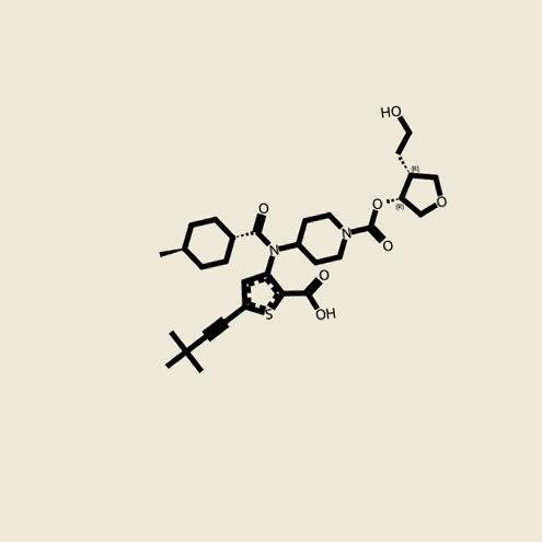 CC(C)(C)C#Cc1cc(N(C(=O)[C@H]2CC[C@H](C)CC2)C2CCN(C(=O)O[C@H]3COC[C@H]3CCO)CC2)c(C(=O)O)s1